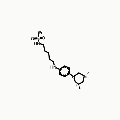 CC(C)S(=O)(=O)NCCCCCNc1ccc(N2C[C@H](C)C[C@@H](C)C2)cc1